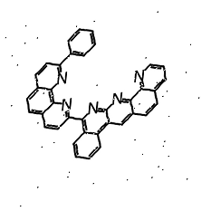 c1ccc(-c2ccc3ccc4ccc(-c5nc6nc7c(ccc8cccnc87)cc6c6ccccc56)nc4c3n2)cc1